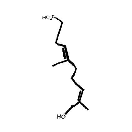 CC(=CCC/C(C)=C/CCC(=O)O)CO